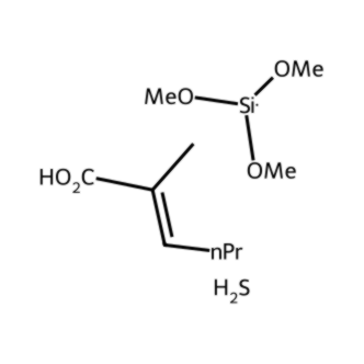 CCCC=C(C)C(=O)O.CO[Si](OC)OC.S